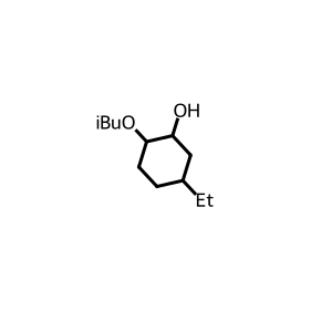 CCC1CCC(OCC(C)C)C(O)C1